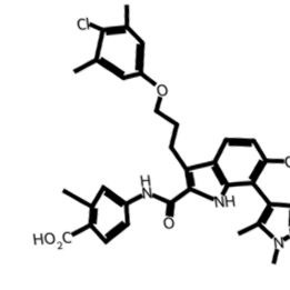 Cc1cc(NC(=O)c2[nH]c3c(-c4c(C)nn(C)c4C)c(Cl)ccc3c2CCCOc2cc(C)c(Cl)c(C)c2)ccc1C(=O)O